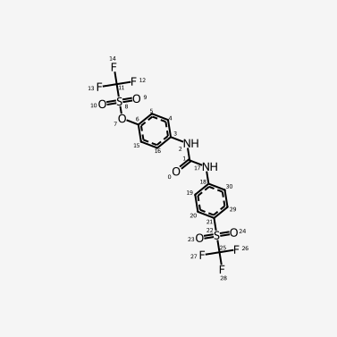 O=C(Nc1ccc(OS(=O)(=O)C(F)(F)F)cc1)Nc1ccc(S(=O)(=O)C(F)(F)F)cc1